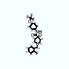 O=C(Nc1ccc(OC(F)(F)F)cc1)C1(O)CCN(Cc2ccccc2F)CC1